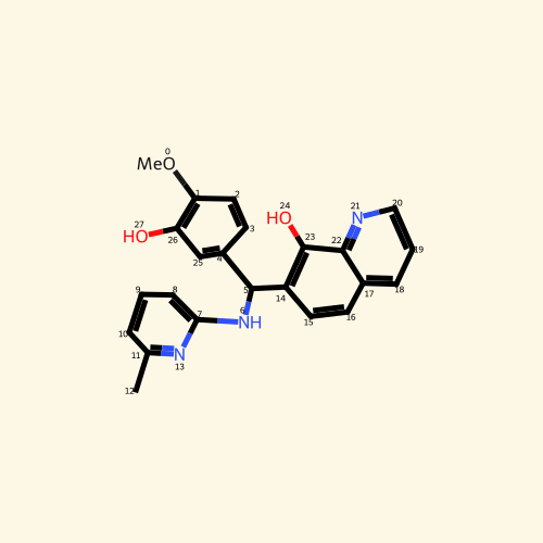 COc1ccc(C(Nc2cccc(C)n2)c2ccc3cccnc3c2O)cc1O